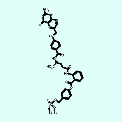 CCOP(=O)(OCC)OCc1ccc(OC(=O)c2ccccc2NC(=O)CC[C@H](NC(=O)c2ccc(NCc3cnc4[nH]c(N)nc(=O)c4n3)cc2)C(=O)O)cc1